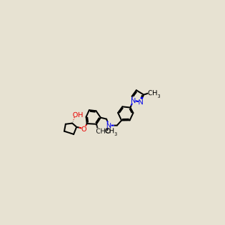 Cc1ccn(-c2ccc(CN(C)Cc3cccc(OC4CCC[C@@H]4O)c3C=O)cc2)n1